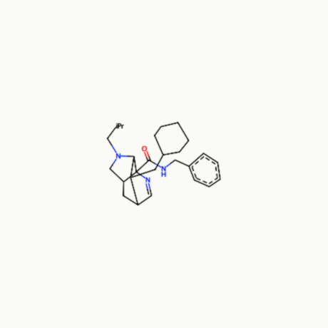 CC(C)CN1CC2CC3C=NC2(C(=O)NCc2ccccc2)C1C3CC1CCCCC1